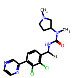 CCC(NC(=O)N(C)C1CCN(C)C1)c1ccc(-c2cnccn2)c(Cl)c1Cl